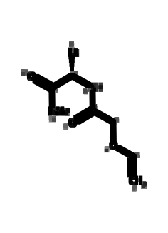 C=COCC(=O)N[C@@H](CC)C(=O)NC